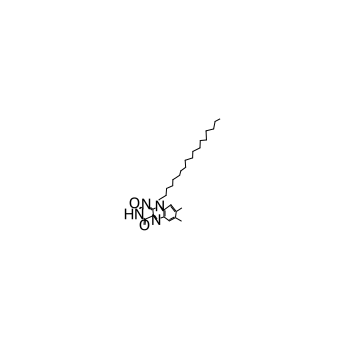 CCCCCCCCCCCCCCCCCCn1c2nc(=O)[nH]c(=O)c-2nc2cc(C)c(C)cc21